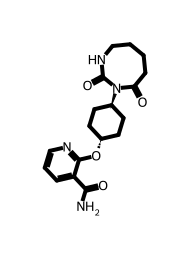 NC(=O)c1cccnc1O[C@H]1CC[C@H](N2C(=O)CCCCNC2=O)CC1